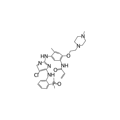 C=CC(=O)Nc1cc(Nc2ncc(Cl)c(Nc3ccccc3P(C)(C)=O)n2)c(C)cc1OCCN1CCN(C)CC1